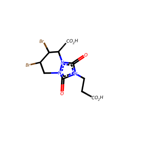 O=C(O)CCn1c(=O)n2n(c1=O)C(C(=O)O)C(Br)C(Br)C2